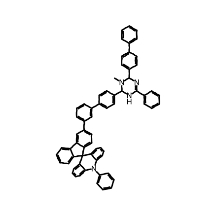 CN1C(c2ccc(-c3ccccc3)cc2)N=C(c2ccccc2)NC1c1ccc(-c2cccc(-c3ccc4c(c3)-c3ccccc3C43c4ccccc4N(c4ccccc4)c4ccccc43)c2)cc1